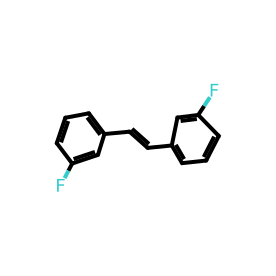 Fc1cccc(C=Cc2cccc(F)c2)c1